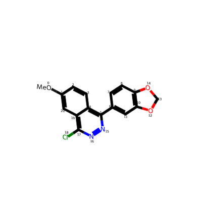 COc1ccc2c(-c3ccc4c(c3)OCO4)nnc(Cl)c2c1